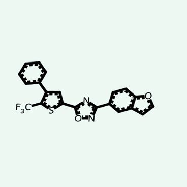 FC(F)(F)c1sc(-c2nc(-c3ccc4occc4c3)no2)cc1-c1ccccc1